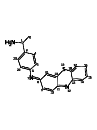 CC(N)c1ccc(/N=c2/ccc3nc4ccccc4sc-3c2)cc1